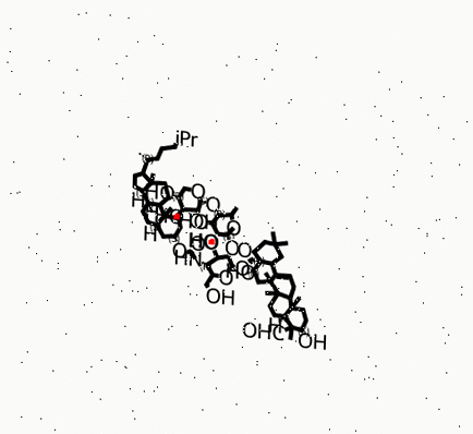 CC(C)CCC[C@@H](C)C1CC[C@H]2[C@H]3CC[C@H]4C[C@@H](OC(=O)N[C@H]5C(CO)O[C@@H](OC(=O)[C@]67CCC(C)(C)CC6C6=CCC8C9(C)CC[C@H](O)C(C)(C=O)[C@@H]9CCC8(C)C6(C)C[C@H]7O)C(O[C@@H]6OC(C)[C@H](O[C@@H]7OC[C@@H](O)C(O)C7O)C(O)C6O)C5O)CCC4(C)C3CCC12C